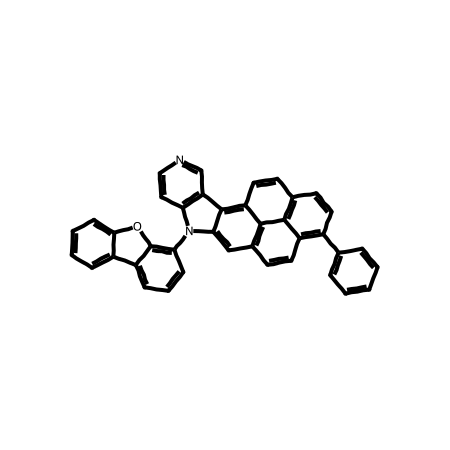 c1ccc(-c2ccc3ccc4c5c(ccc2c35)cc2c4c3cnccc3n2-c2cccc3c2oc2ccccc23)cc1